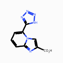 O=C(O)c1cn2c(-c3nnn[nH]3)cccc2n1